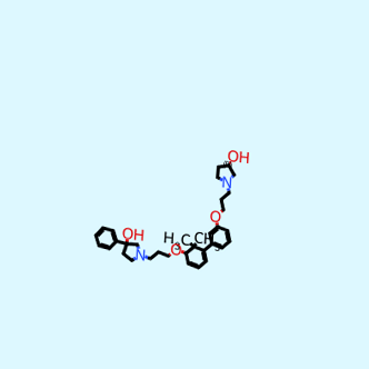 CC1(C)C(c2cccc(OCCCN3CC[C@@H](O)C3)c2)=CC=CC1OCCCN1CCC(O)(c2ccccc2)C1